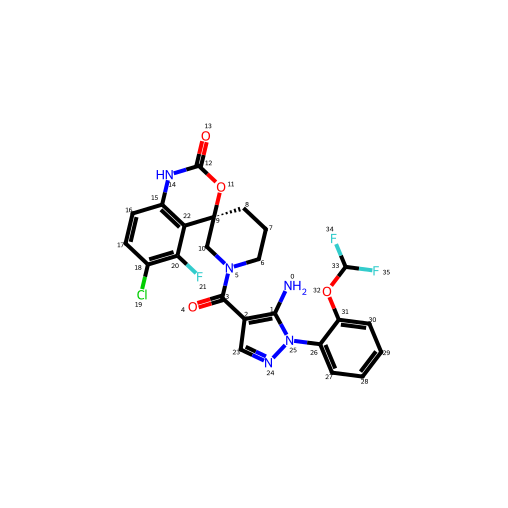 Nc1c(C(=O)N2CCC[C@@]3(C2)OC(=O)Nc2ccc(Cl)c(F)c23)cnn1-c1ccccc1OC(F)F